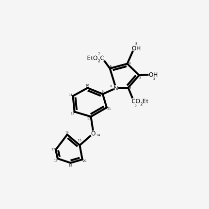 CCOC(=O)c1c(O)c(O)c(C(=O)OCC)n1-c1cccc(Oc2ccccc2)c1